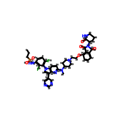 CCCS(=O)(=O)Nc1ccc(F)c(-n2cc(-c3cncnc3)c3nc(N(C)C4CCN(CCOc5cccc6c5C(=O)N(C5CCCNC5=O)C6=O)CC4)ccc32)c1F